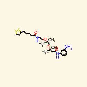 CC(C)(COC(C)(C)CC(=O)Nc1cccc(N)c1)OCCNC(=O)CCCCC1CCSS1